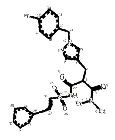 CCN(CC)C(=O)C(Cc1cnn(Cc2ccc(F)cc2)c1)C(=O)NS(=O)(=O)/C=C/c1ccccc1